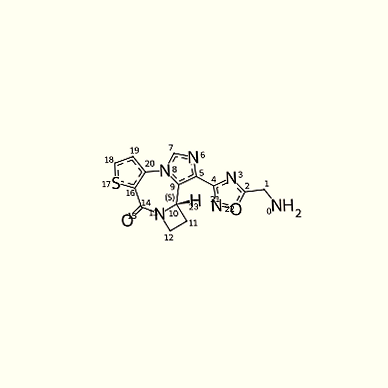 NCc1nc(-c2ncn3c2[C@@H]2CCN2C(=O)c2sccc2-3)no1